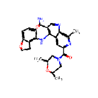 Cc1nc(C(=O)N2CC(C)OC(C)C2)cc2c(Nc3cccc4c3CCO4)c(C(N)=O)cnc12